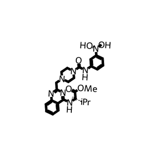 COC(=O)[C@@H](Nc1nc(CN2CCN(C(=O)Nc3cccc(N(O)O)c3)CC2)nc2ccccc12)C(C)C